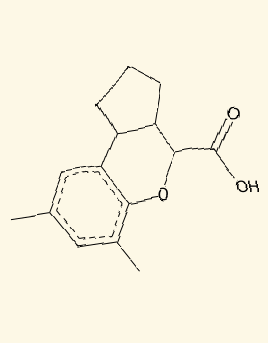 Cc1cc(C)c2c(c1)C1CCCC1C(C(=O)O)O2